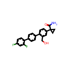 NC(=O)C1(c2ccc(-c3ccc(-c4ccc(F)cc4F)cc3)c(CO)c2)CC1